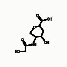 O=C(CO)NC1COC(C(=O)O)CC1O